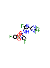 O=C(NCc1cc(-c2cnc(C(F)(F)F)nc2)ncc1F)C1C2CC(F)C(C2)N1S(=O)(=O)c1ccc(F)cc1